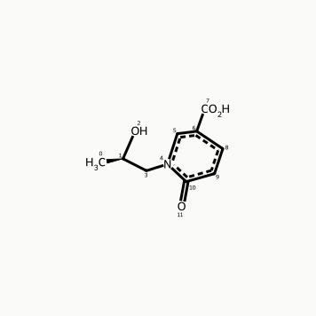 C[C@@H](O)Cn1cc(C(=O)O)ccc1=O